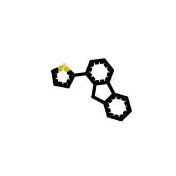 [CH]1c2ccccc2-c2cccc(-c3cccs3)c21